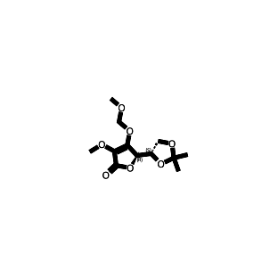 COCOC1=C(OC)C(=O)O[C@@H]1[C@@H]1COC(C)(C)O1